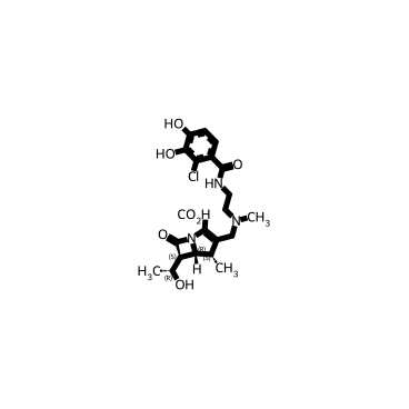 C[C@@H](O)[C@H]1C(=O)N2C(C(=O)O)=C(CN(C)CCNC(=O)c3ccc(O)c(O)c3Cl)[C@H](C)[C@H]12